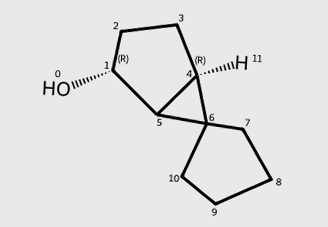 O[C@@H]1CC[C@@H]2C1C21CCCC1